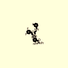 CCCN(CCC)C(=O)c1cccc(S(=O)(=O)N(CCc2cc(F)cc(F)c2)C[C@@H](O)CNCc2cccc(I)c2)c1